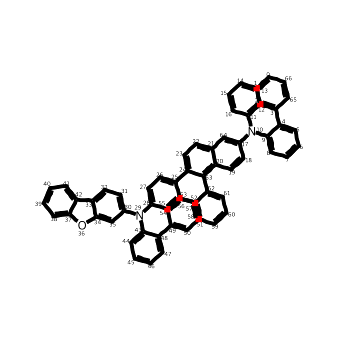 c1ccc(-c2ccccc2N(c2ccccc2)c2ccc3c(ccc4c5ccc(N(c6ccc7c(c6)oc6ccccc67)c6ccccc6-c6ccccc6)cc5c5ccccc5c34)c2)cc1